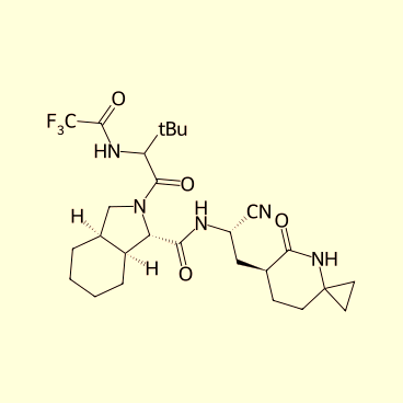 CC(C)(C)C(NC(=O)C(F)(F)F)C(=O)N1C[C@@H]2CCCC[C@@H]2[C@H]1C(=O)N[C@H](C#N)C[C@@H]1CCC2(CC2)NC1=O